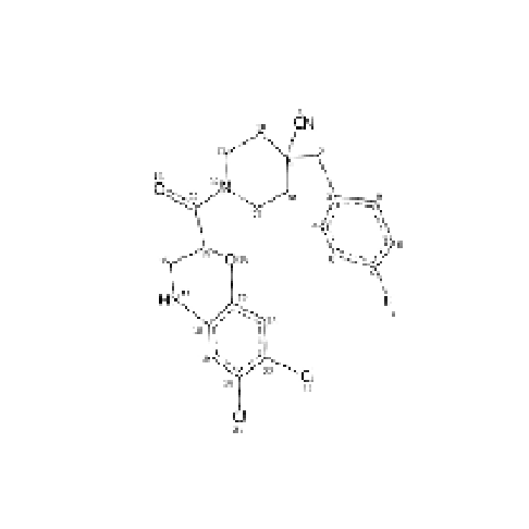 N#CC1(Cc2ccc(F)cc2)CCN(C(=O)C2CNc3cc(Cl)c(Cl)cc3O2)CC1